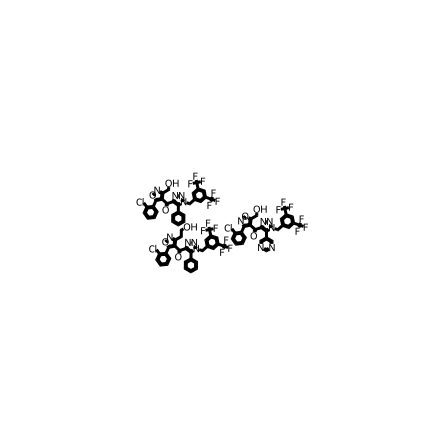 O=C(c1nnn(Cc2cc(C(F)(F)F)cc(C(F)(F)F)c2)c1-c1ccccc1)c1c(CCO)noc1-c1ccccc1Cl.O=C(c1nnn(Cc2cc(C(F)(F)F)cc(C(F)(F)F)c2)c1-c1ccccc1)c1c(CO)noc1-c1ccccc1Cl.O=C(c1nnn(Cc2cc(C(F)(F)F)cc(C(F)(F)F)c2)c1-c1cncnc1)c1c(-c2ccccc2Cl)noc1CO